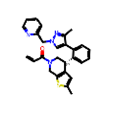 C=CC(=O)N1Cc2sc(C)cc2[C@@H](c2ccccc2-c2cn(Cc3ccccn3)nc2C)C1